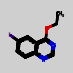 CCOc1ncnc2ccc(I)cc12